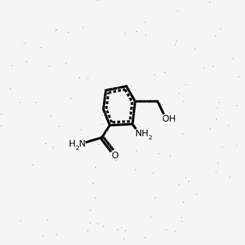 NC(=O)c1cccc(CO)c1N